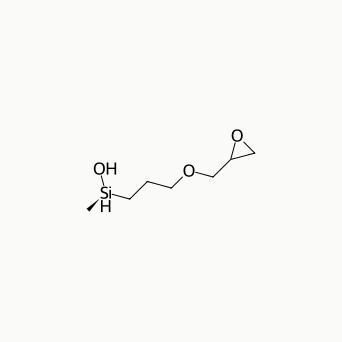 C[Si@@H](O)CCCOCC1CO1